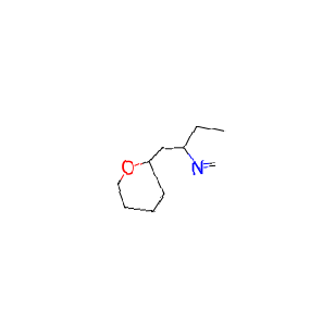 C=NC(CC)CC1CCCCO1